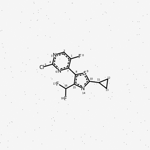 Fc1cnc(Cl)nc1-c1sc(C2CC2)nc1C(F)F